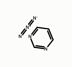 [N-]=[N+]=[N-].c1cncnc1